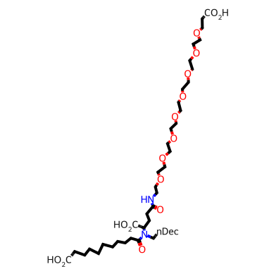 CCCCCCCCCCCN(C(=O)CCCCCCCCCC(=O)O)C(CCC(=O)NCCOCCOCCOCCOCCOCCOCCOCCOCCC(=O)O)C(=O)O